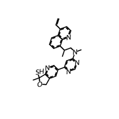 C=Cc1ccnc2c(C(C)CN(C)c3cc(-c4cnc5c(c4)COC5(C)S)ncn3)cccc12